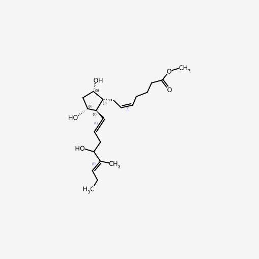 CC/C=C(\C)C(O)C/C=C/[C@@H]1[C@@H](C/C=C\CCCC(=O)OC)[C@@H](O)C[C@H]1O